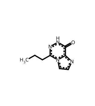 CCCc1n[nH]c(=O)c2nccn12